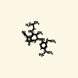 COc1cc(P(C)C)ccc1NC1N=c2[nH]cc(C#N)c2=C(NCC(C)C)N1C